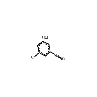 Cl.Clc1ccc[c]([Mg][Br])c1